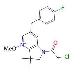 CO[n+]1cc(Cc2ccc(F)cc2)cc2c1C(C)(C)CN2C(=O)CCl